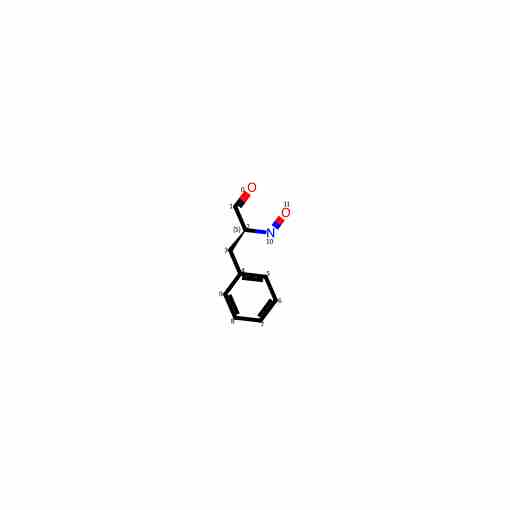 O=[C][C@H](Cc1ccccc1)N=O